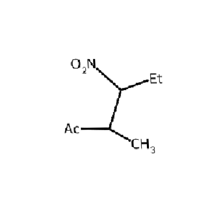 CCC(C(C)C(C)=O)[N+](=O)[O-]